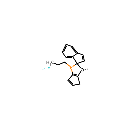 CCCP1C2=[C](CC=C2)[Zr+2][C]12C=Cc1ccccc12.[F-].[F-]